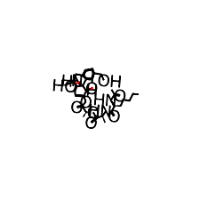 CCCCC[C@H](NC(C)=O)C(=O)N[C@@H](C)C(=O)O[C@@H](C)C(=O)OC1=CC[C@@]2(O)[C@H]3Cc4ccc(CO)c5c4[C@@]2(CCN3C)[C@H]1O5